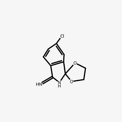 N=C1NC2(OCCO2)c2cc(Cl)ccc21